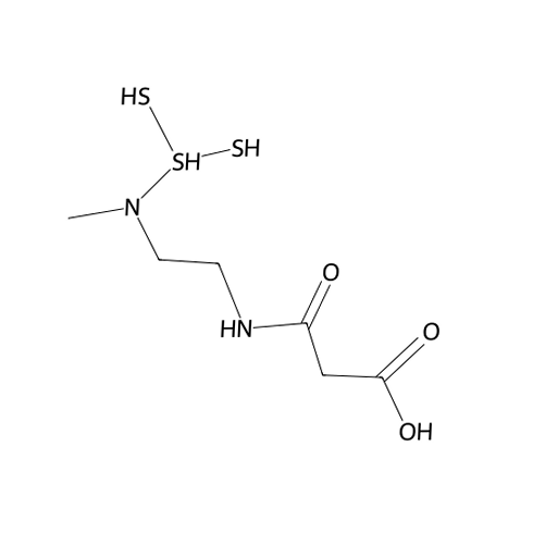 CN(CCNC(=O)CC(=O)O)[SH](S)S